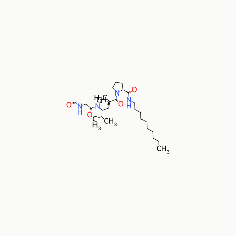 CCCCCCCCCCNC(=O)[C@@H]1CCCN1C(=O)/C(C)=C/[C@H](C(C)C)N(C)C(=O)CNC=O